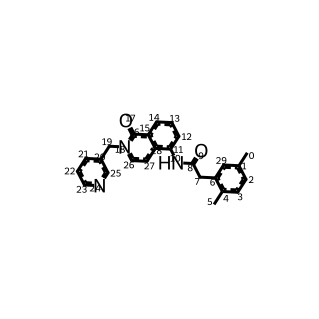 Cc1ccc(C)c(CC(=O)Nc2cccc3c(=O)n(Cc4cccnc4)ccc23)c1